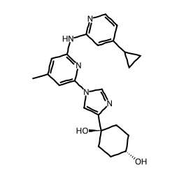 Cc1cc(Nc2cc(C3CC3)ccn2)nc(-n2cnc([C@]3(O)CC[C@H](O)CC3)c2)c1